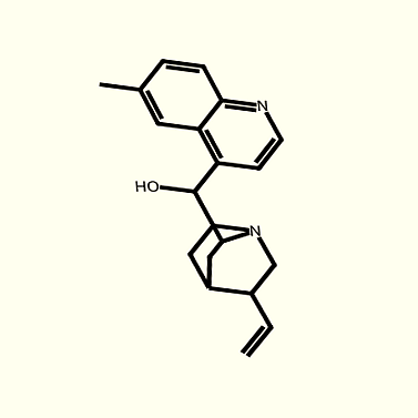 C=CC1CN2CCC1CC2C(O)c1ccnc2ccc(C)cc12